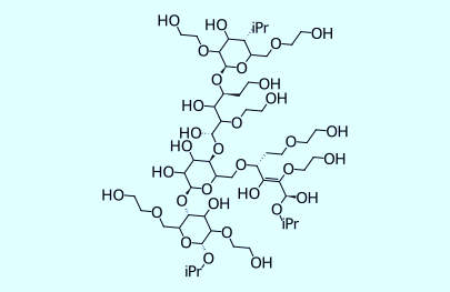 CC(C)O[C@@H]1OC(COCCO)[C@H](O[C@@H]2OC(CO[C@H](CCOCCO)/C(O)=C(\OCCO)[C@@H](O)OC(C)C)[C@H](O[C@H](O)C(OCCO)C(O)[C@H](CCO)O[C@@H]3OC(COCCO)[C@@H](C(C)C)C(O)C3OCCO)C(O)C2O)C(O)C1OCCO